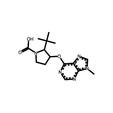 Cn1cnc2c(OC3CCN(C(=O)O)C3C(C)(C)C)ncnc21